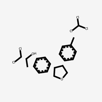 C1CCOC1.CCO.Cc1ccccc1.ClC(Cl)Cl.ClCCl.c1ccccc1